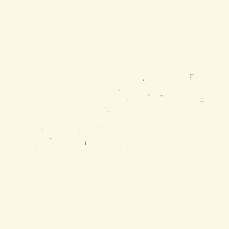 O=C(Oc1cc(C(F)(F)F)cc2c(OC(=O)c3ccc(F)c(F)c3)cccc12)c1ccc(F)c(F)c1